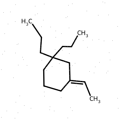 CC=C1CCCC(CCC)(CCC)C1